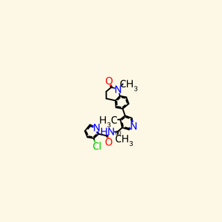 Cc1c(-c2ccc3c(c2)CCC(=O)N3C)cncc1[C@@H](C)NC(=O)c1ncccc1Cl